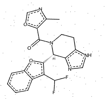 Cc1ncoc1C(=O)N1CCc2[nH]cnc2[C@@H]1c1oc2ccccc2c1C(F)F